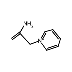 C=C(N)C[n+]1ccccc1